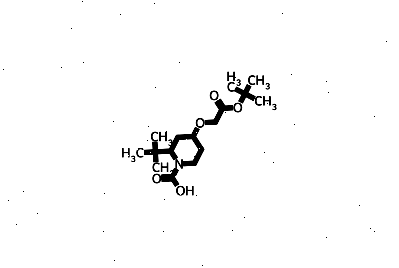 CC(C)(C)OC(=O)COC1CCN(C(=O)O)C(C(C)(C)C)C1